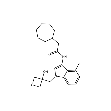 Cc1cccc2c1c(NC(=O)CC1CCCCCC1)cn2CC1(O)COC1